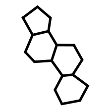 [CH]1CCC2C(C1)C[CH]C1C3CCCC3CCC12